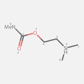 CNC(=O)OCC[SiH](C)C